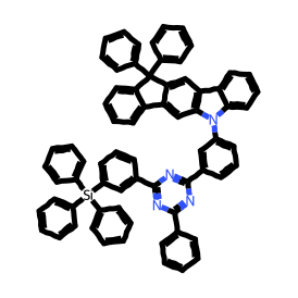 c1ccc(-c2nc(-c3cccc(-n4c5ccccc5c5cc6c(cc54)-c4ccccc4C6(c4ccccc4)c4ccccc4)c3)nc(-c3cccc([Si](c4ccccc4)(c4ccccc4)c4ccccc4)c3)n2)cc1